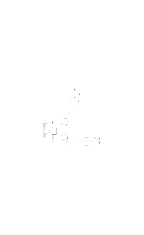 Cc1sc(/C=C/c2ccc(N(C)C)cc2)cc1C1=C(c2cc(/C=C/c3ccc(N(C)C)cc3)sc2C)C(F)(F)C(F)(F)C1(F)F